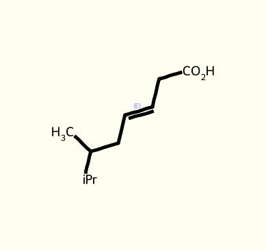 CC(C)C(C)C/C=C/CC(=O)O